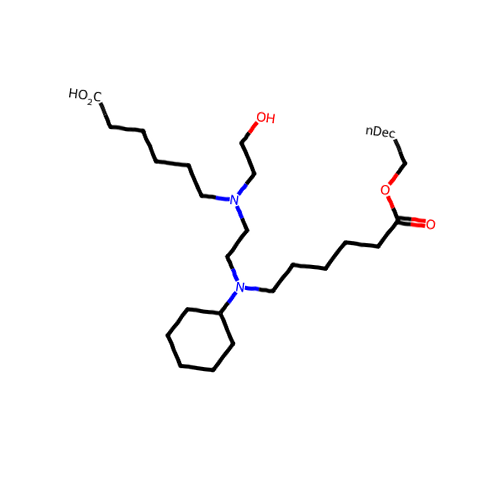 CCCCCCCCCCCOC(=O)CCCCCN(CCN(CCO)CCCCCC(=O)O)C1CCCCC1